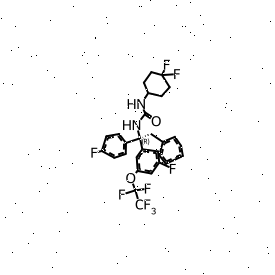 O=C(NC1CCC(F)(F)CC1)N[C@](Cc1ccccc1)(c1ccc(F)cc1)c1cc(F)cc(OC(F)(F)C(F)(F)F)c1